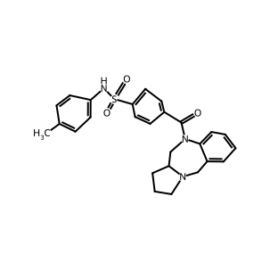 Cc1ccc(NS(=O)(=O)c2ccc(C(=O)N3CC4CCCN4Cc4ccccc43)cc2)cc1